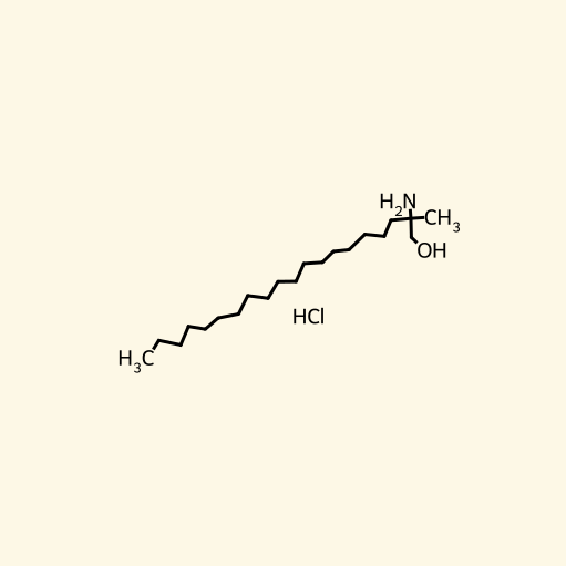 CCCCCCCCCCCCCCCCCCC(C)(N)CO.Cl